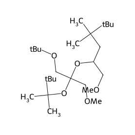 COCC(CC(C)(C)C(C)(C)C)OC(COC)(COC(C)(C)C)OC(C)(C)C(C)(C)C